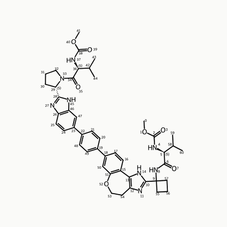 COC(=O)N[C@H](C(=O)NC1(c2nc3c([nH]2)-c2ccc(-c4ccc(-c5ccc6nc([C@@H]7CCCN7C(=O)[C@@H](NC(=O)OC)C(C)C)[nH]c6c5)cc4)cc2OCC3)CCC1)C(C)C